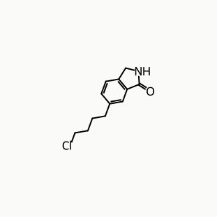 O=C1NCc2ccc(CCCCCl)cc21